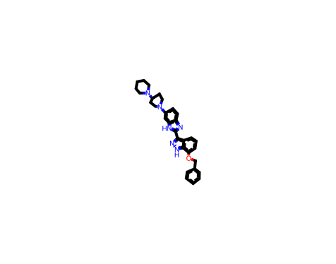 c1ccc(COc2cccc3c(-c4nc5ccc(N6CCC(N7CCCCC7)CC6)cc5[nH]4)n[nH]c23)cc1